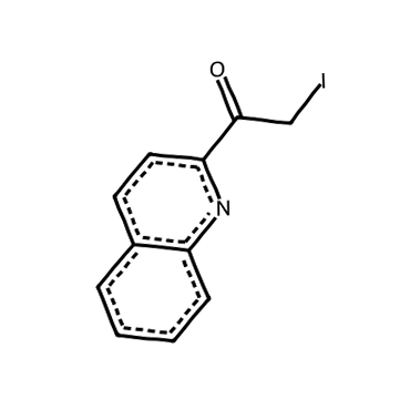 O=C(CI)c1ccc2ccccc2n1